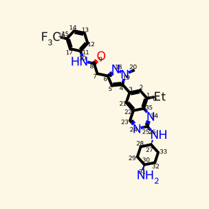 CCc1cc(-c2cc(CC(=O)Nc3cccc(C(F)(F)F)c3)nn2C)cc2cnc(N[C@H]3CC[C@H](N)CC3)nc12